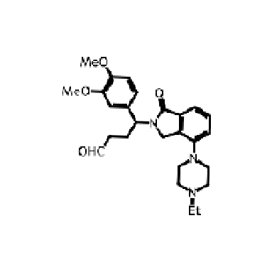 CCN1CCN(c2cccc3c2CN(C(CCC=O)c2ccc(OC)c(OC)c2)C3=O)CC1